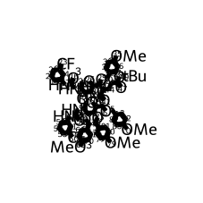 COc1ccc(COCC2O[C@@H](O[C@@H]3C(NC(=O)Nc4cccc(C(F)(F)F)c4)COC(COCc4ccc(OC)cc4)[C@@H]3NC(=O)C(N)CCC(=O)OC(C)(C)C)C(NC(=O)Nc3cccc(C(F)(F)F)c3)[C@@H](OCc3ccc(OC)cc3)[C@@H]2OCc2ccc(OC)cc2)cc1